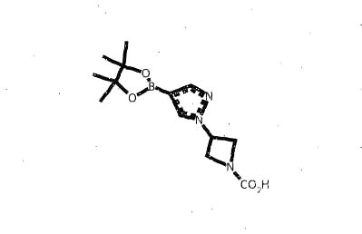 CC1(C)OB(c2cnn(C3CN(C(=O)O)C3)c2)OC1(C)C